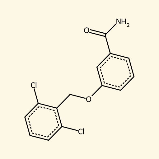 NC(=O)c1cccc(OCc2c(Cl)cccc2Cl)c1